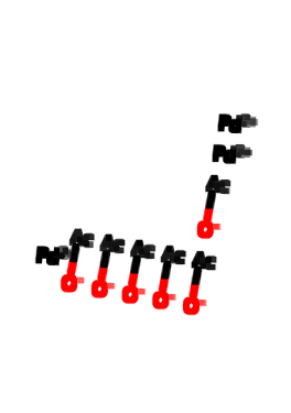 CC(=O)[O-].CC(=O)[O-].CC(=O)[O-].CC(=O)[O-].CC(=O)[O-].CC(=O)[O-].[Pd+2].[Pd+2].[Pd+2]